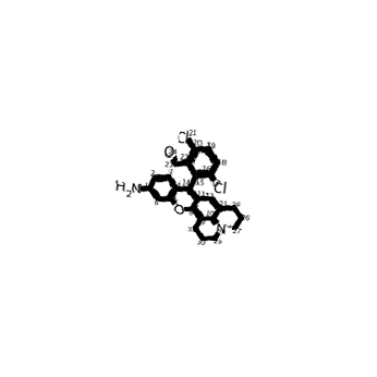 Nc1ccc2c(c1)Oc1c3c4c(cc1=C2c1c(Cl)ccc(Cl)c1C=O)CCC[N+]=4CCC3